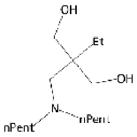 CCCCCN(CCCCC)CC(CC)(CO)CO